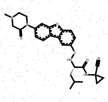 CC(C)C[C@H](NSc1ccc2oc3cc(N4CCN(C)CC4=O)ccc3c2c1)C(=O)NC1(C#N)CC1